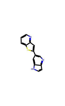 c1cnc2cc(-c3cnc4cc[nH]c4c3)sc2c1